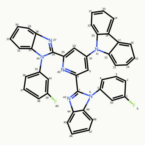 Fc1cccc(-n2c(-c3cc(-n4c5ccccc5c5ccccc54)cc(-c4nc5ccccc5n4-c4cccc(F)c4)n3)nc3ccccc32)c1